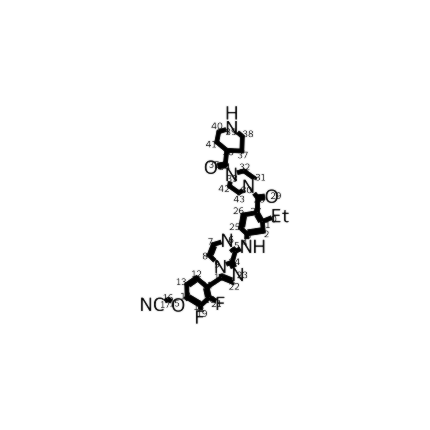 CCc1cc(Nc2nccn3c(-c4ccc(OCC#N)c(F)c4F)cnc23)ccc1C(=O)N1CCN(C(=O)C2CCNCC2)CC1